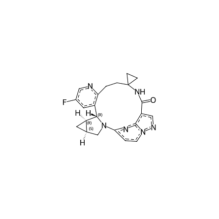 O=C1NC2(CCc3ncc(F)cc3[C@H]3[C@@H]4C[C@@H]4CN3c3ccn4ncc1c4n3)CC2